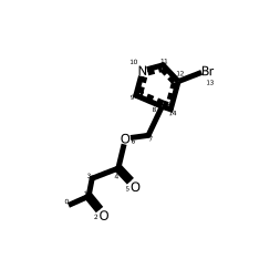 CC(=O)CC(=O)OCc1cncc(Br)c1